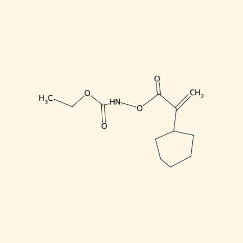 C=C(C(=O)ONC(=O)OCC)C1CCCCC1